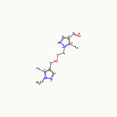 Cn1ncc(COCCn2ncc(C=O)c2I)c1I